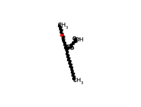 CCCCCCCCCCCCCCCCCCCCC(CCCCCCCCCCCCCCCC)COC(=O)CCCCC(=O)O